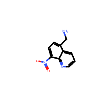 NCc1ccc([N+](=O)[O-])c2ncccc12